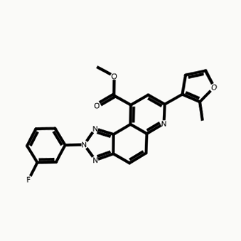 COC(=O)c1cc(-c2ccoc2C)nc2ccc3nn(-c4cccc(F)c4)nc3c12